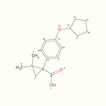 CC1(C)CC1(C(=O)O)c1ccc(OC2CCCC2)cc1